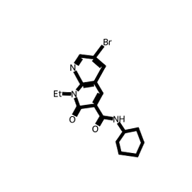 CCn1c(=O)c(C(=O)NC2CCCCC2)cc2cc(Br)cnc21